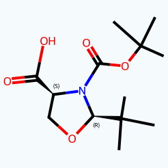 CC(C)(C)OC(=O)N1[C@H](C(=O)O)CO[C@@H]1C(C)(C)C